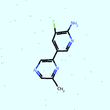 Cc1cncc(-c2cnc(N)c(F)c2)n1